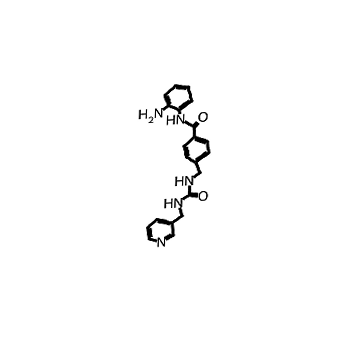 Nc1ccccc1NC(=O)c1ccc(CNC(=O)NCc2cccnc2)cc1